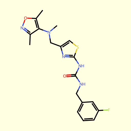 Cc1noc(C)c1N(C)Cc1csc(NC(=O)NCc2cccc(F)c2)n1